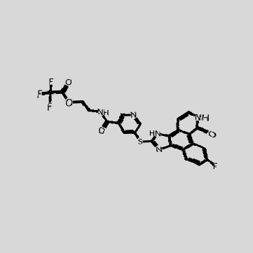 O=C(NCCOC(=O)C(F)(F)F)c1cncc(Sc2nc3c4ccc(F)cc4c4c(=O)[nH]ccc4c3[nH]2)c1